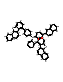 c1ccc(N(c2ccc(-c3ccc4ccccc4c3)cc2)c2ccc(-c3cccc4oc5c6ccccc6ccc5c34)cc2)c(-c2cccc3oc4c5ccccc5ccc4c23)c1